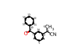 CC(C#N)c1cccc(C(=O)c2ccccc2)c1